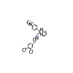 [C-]#[N+]c1ccc(-c2nc3sccn3c2/C=N/OCc2ccc(Cl)c(Cl)c2)cc1